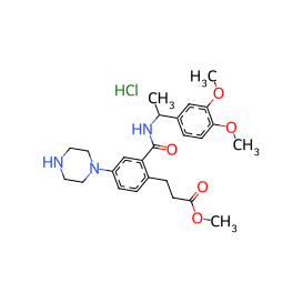 COC(=O)CCc1ccc(N2CCNCC2)cc1C(=O)NC(C)c1ccc(OC)c(OC)c1.Cl